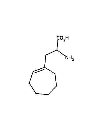 NC(CC1=CCCCCC1)C(=O)O